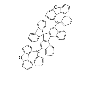 c1ccc(N(c2cc3c(c4ccccc24)-c2c(cc(N(c4ccccc4)c4cccc5oc6ccccc6c45)c4ccccc24)C32c3ccccc3-c3ccccc32)c2cccc3oc4ccccc4c23)cc1